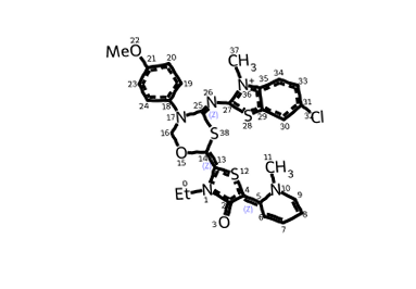 CCn1c(=O)/c(=C2\C=CC=CN2C)s/c1=C1/OCN(c2ccc(OC)cc2)/C(=N/c2sc3cc(Cl)ccc3[n+]2C)S1